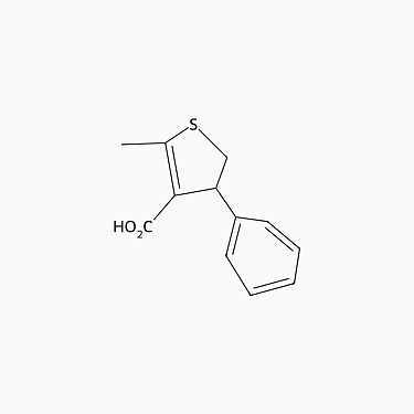 CC1=C(C(=O)O)C(c2ccccc2)CS1